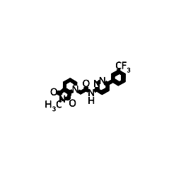 CN1C(=O)C2=C(C1=O)N(CC(=O)Nc1ccc(-c3cccc(C(F)(F)F)c3)nn1)CCC2